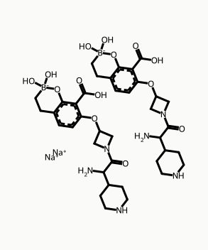 NC(C(=O)N1CC(Oc2ccc3c(c2C(=O)O)O[B-](O)(O)CC3)C1)C1CCNCC1.NC(C(=O)N1CC(Oc2ccc3c(c2C(=O)O)O[B-](O)(O)CC3)C1)C1CCNCC1.[Na+].[Na+]